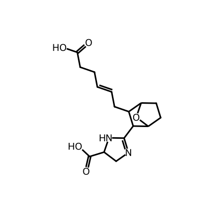 O=C(O)CC/C=C/CC1C2CCC(O2)C1C1=NCC(C(=O)O)N1